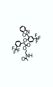 CC(=O)NCCOC(=O)C(Oc1ccc(C(F)(F)F)cc1-c1nc2ccccc2o1)c1cccc(C(F)(F)F)c1